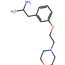 CC(N)Cc1cccc(OCCN2CCOCC2)c1